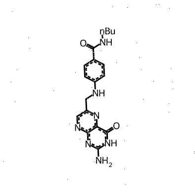 CCCCNC(=O)c1ccc(NCc2cnc3nc(N)[nH]c(=O)c3n2)cc1